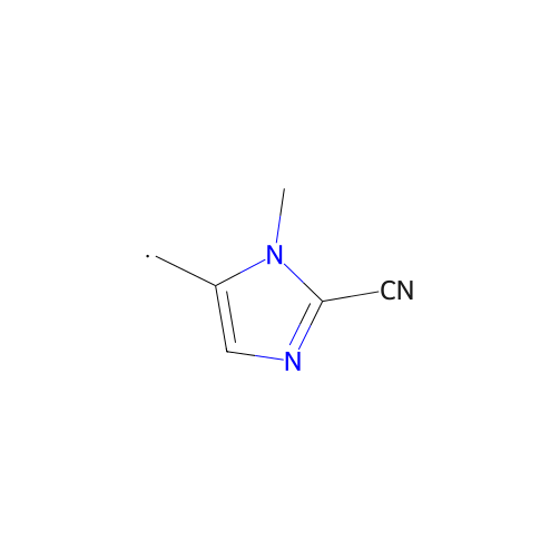 [CH2]c1cnc(C#N)n1C